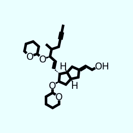 CC#CCC(C)[C@@H](C=C[C@@H]1[C@H]2CC(=CCO)C[C@H]2C[C@H]1OC1CCCCO1)OC1CCCCO1